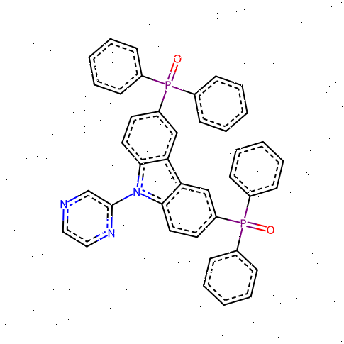 O=P(c1ccccc1)(c1ccccc1)c1ccc2c(c1)c1cc(P(=O)(c3ccccc3)c3ccccc3)ccc1n2-c1cnccn1